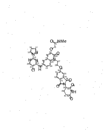 CNC(=O)COc1cc2cc(Nc3nc(-n4cccn4)ncc3Cl)ccc2n(CCOc2ccc3c(c2)C(=O)N(C2CCC(=O)NC2=O)C3=O)c1=O